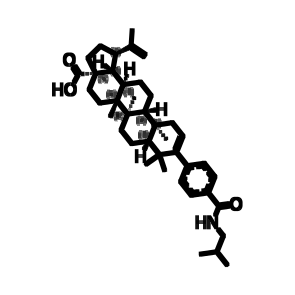 C=C(C)[C@@H]1CC[C@]2(C(=O)O)CC[C@]3(C)[C@H](CC[C@@H]4[C@@]5(C)CC=C(c6ccc(C(=O)NCC(C)C)cc6)C(C)(C)[C@@H]5CC[C@]43C)[C@@H]12